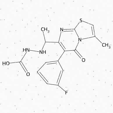 Cc1csc2nc(C(C)NNC(=O)O)c(-c3cccc(F)c3)c(=O)n12